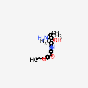 C#CCCCOc1ccc(C(=O)c2ccc(-n3cc4c(n3)C[C@H](CO)[C@](C)(C3CCC5(C)C(=C)CCC5C3CN)C4)cc2)cc1